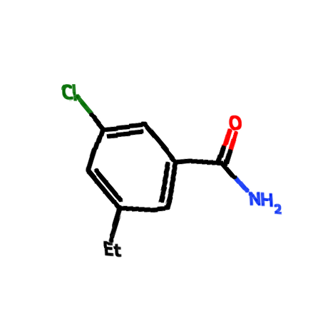 CCc1cc(Cl)cc(C(N)=O)c1